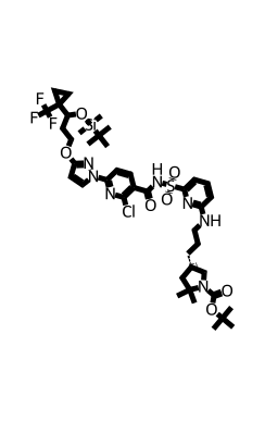 CC(C)(C)OC(=O)N1C[C@@H](CCCNc2cccc(S(=O)(=O)NC(=O)c3ccc(-n4ccc(OCCC(O[Si](C)(C)C(C)(C)C)C5(C(F)(F)F)CC5)n4)nc3Cl)n2)CC1(C)C